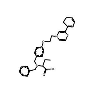 CCC(C(=O)O)N(Cc1ccccc1)Cc1ccc(OCCN2C=CSC(C3=CC=CCC3)=C2)cc1